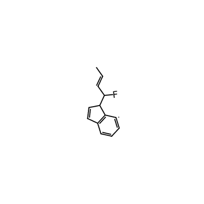 CC=CC(F)C1C=Cc2ccc[c]c21